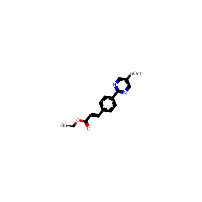 CCCCCCCCc1cnc(-c2ccc(/C=C/C(=O)OC[C@H](C)CC)cc2)nc1